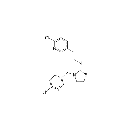 Clc1ccc(CCN=C2SCCN2Cc2ccc(Cl)nc2)cn1